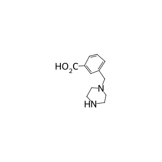 O=C(O)c1cccc(CN2CCNCC2)c1